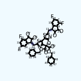 O=C1C(=O)c2c(F)cc(F)cc2/C1=C/c1nc2c(s1)-c1sc(/C=C3\C(=O)C(=O)c4c(F)cc(F)cc43)nc1C(C(=O)OCc1ccccc1)(C(=O)OCc1ccccc1)O2